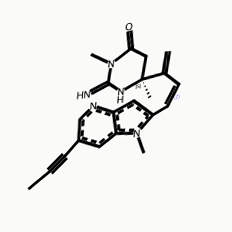 C=C(/C=C\c1cc2ncc(C#CC)cc2n1C)[C@]1(C)CC(=O)N(C)C(=N)N1